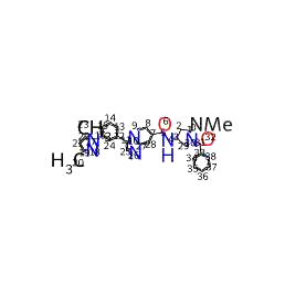 CN[C@H]1C[C@H](NC(=O)c2ccn3c(-c4cccc(-n5nc(C)cc5C)c4)cnc3c2)CN1C(=O)c1ccccc1